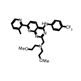 COCCN(CCOC)Cc1nc(Nc2ccc(C(F)(F)F)cc2)c2ccc(-c3ncccc3C)nc2n1